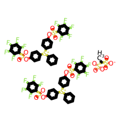 CC(S(=O)(=O)[O-])S(=O)(=O)[O-].O=S(=O)(Oc1ccc([S+](c2ccccc2)c2ccc(OS(=O)(=O)c3c(F)c(F)c(F)c(F)c3F)cc2)cc1)c1c(F)c(F)c(F)c(F)c1F.O=S(=O)(Oc1ccc([S+](c2ccccc2)c2ccc(OS(=O)(=O)c3c(F)c(F)c(F)c(F)c3F)cc2)cc1)c1c(F)c(F)c(F)c(F)c1F